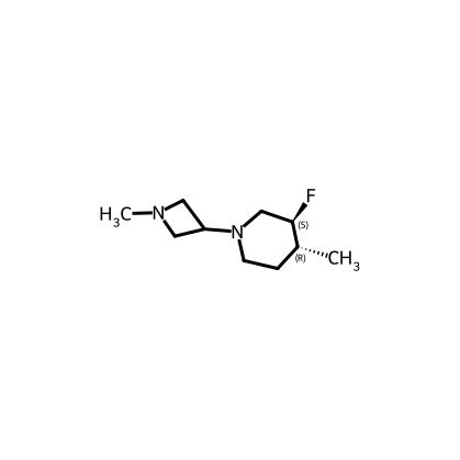 C[C@@H]1CCN(C2CN(C)C2)C[C@H]1F